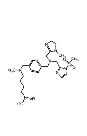 CCCN(CCC)CCCCN(C)Cc1ccc(CN(CC2=NCCN2C)Cc2nccn2S(C)(=O)=O)cc1